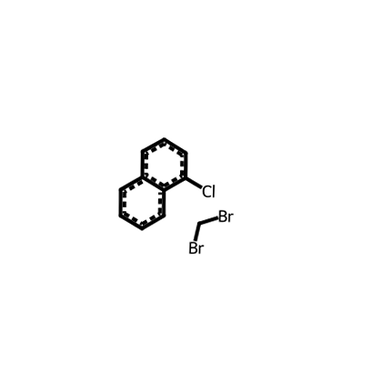 BrCBr.Clc1cccc2ccccc12